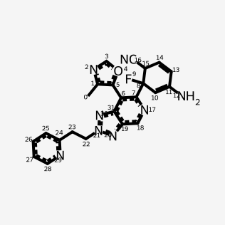 Cc1ncoc1-c1c(C2(F)C=C(N)C=CC2C#N)ncc2nn(CCc3ccccn3)nc12